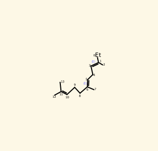 CC/C(C)=C/C/C=C(\C)CCC=C(C)C